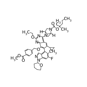 CCCC(C)(C)OC(=O)N1C[C@@H]2C[C@H]1CN2c1nc(OCC)nc2c(OCc3ccc(C(=O)OC)cc3)c(-c3c(C)c(F)cc4c3cnn4C3CCCCO3)c(C3CC3)cc12